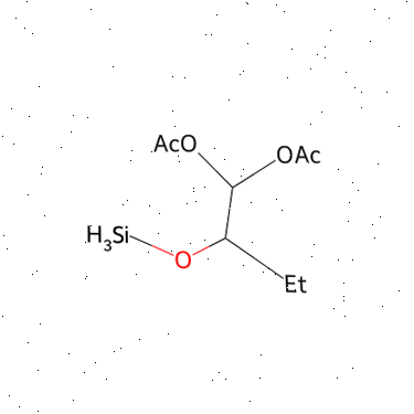 CCC(O[SiH3])C(OC(C)=O)OC(C)=O